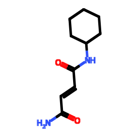 NC(=O)C=CC(=O)NC1CCCCC1